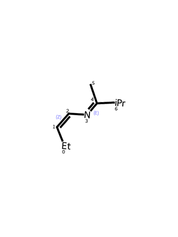 CC/C=C\N=C(/C)C(C)C